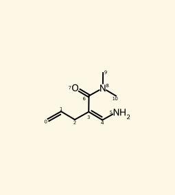 C=CCC(=CN)C(=O)N(C)C